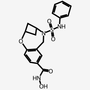 O=C(NO)c1ccc2c(c1)CN(S(=O)(=O)Nc1ccccc1)C1CC(C1)O2